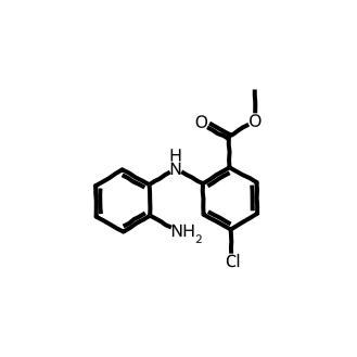 COC(=O)c1ccc(Cl)cc1Nc1ccccc1N